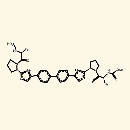 COC(=O)N[C@H](C(=O)N1CCC[C@@H]1c1ncc(-c2ccc(-c3ccc(-c4cnc([C@H]5CCCN5C(=O)[C@@H](NC(=O)O)C(C)C)[nH]4)cc3)cc2)[nH]1)C(C)C